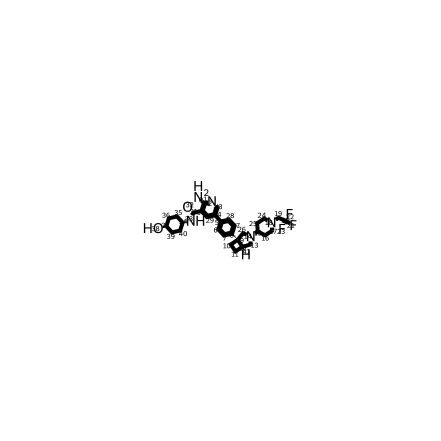 Nc1ncc(-c2ccc([C@@]34CC[C@@H]3CN(C3CCN(CC(F)(F)F)CC3)C4)cc2)cc1C(=O)N[C@H]1CC[C@H](O)CC1